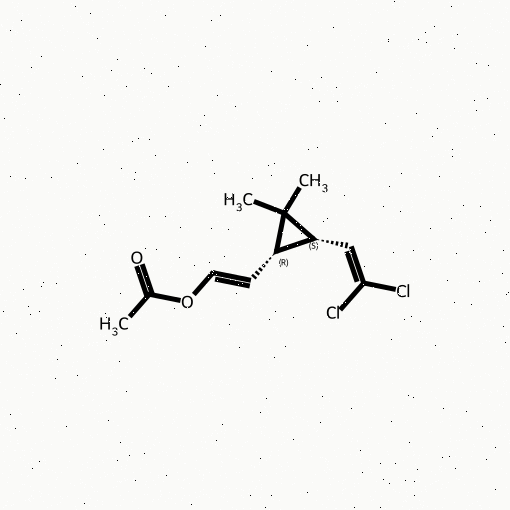 CC(=O)OC=C[C@H]1[C@@H](C=C(Cl)Cl)C1(C)C